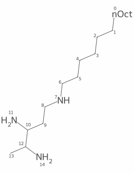 CCCCCCCCCCCCCCNCCC(N)C(C)N